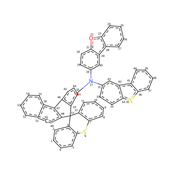 c1ccc2c(c1)Sc1ccccc1C21c2cc(N(c3ccc4oc5ccccc5c4c3)c3ccc4sc5ccccc5c4c3)ccc2-c2c1ccc1ccccc21